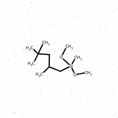 CO[Si](C)(CC(C)CC(C)(C)C)OC